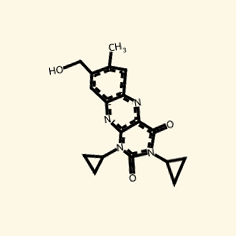 Cc1cc2nc3c(=O)n(C4CC4)c(=O)n(C4CC4)c3nc2cc1CO